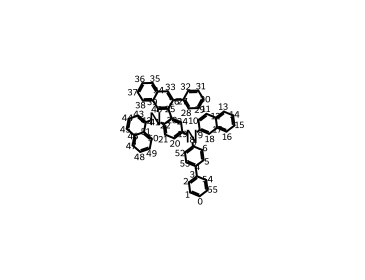 c1ccc(-c2ccc(N(c3ccc4ccccc4c3)c3ccc4c(c3)c3c(-c5ccccc5)cc5ccccc5c3n4-c3cccc4ccccc34)cc2)cc1